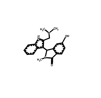 CN(C)Cc1[nH]c2ccccc2c1C1c2cc(O)ccc2C(=O)N1C